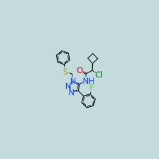 O=C(Nc1c(-c2ccccc2F)nnn1CSc1ccccc1)C(Cl)C1CCC1